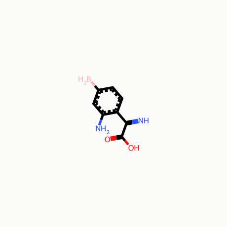 Bc1ccc(C(=N)C(=O)O)c(N)c1